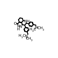 CN(C)Cc1ccc(C2NC3CCCc4c3c(n[nH]c4=O)C2c2ccc(CN(C)C)cc2)cc1